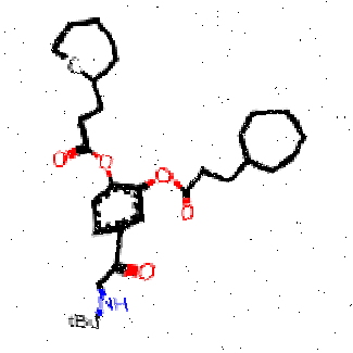 CC(C)(C)NCC(=O)c1ccc(OC(=O)CCC2CCCCCC2)c(OC(=O)CCC2CCCCCC2)c1